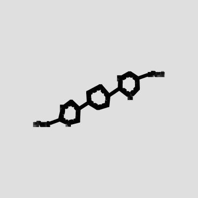 CCCCCc1cnc(-c2ccc(-c3cnc(CCCCC)nc3)cc2)nc1